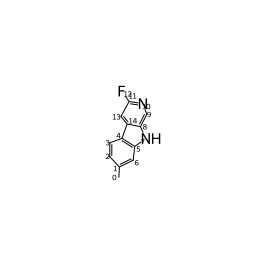 Cc1ccc2c(c1)[nH]c1cnc(F)cc12